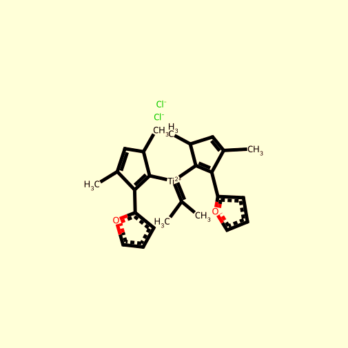 CC1=CC(C)[C]([Ti+2]([C]2=C(c3ccco3)C(C)=CC2C)=[C](C)C)=C1c1ccco1.[Cl-].[Cl-]